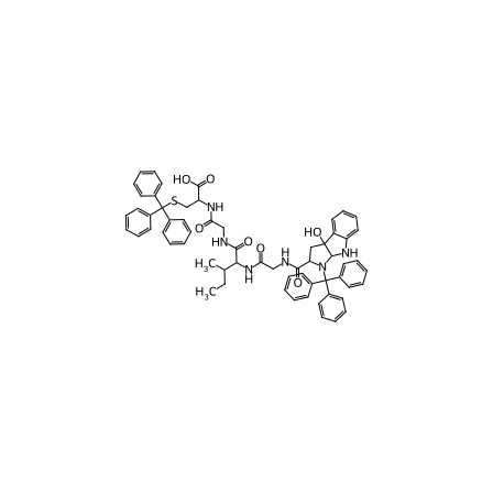 CCC(C)C(NC(=O)CNC(=O)C1CC2(O)c3ccccc3NC2N1C(c1ccccc1)(c1ccccc1)c1ccccc1)C(=O)NCC(=O)NC(CSC(c1ccccc1)(c1ccccc1)c1ccccc1)C(=O)O